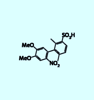 COc1cc(-c2c(C)ccc(S(=O)(=O)O)c2C)c([N+](=O)[O-])cc1OC